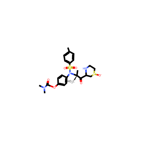 Cc1ccc(S(=O)(=O)N(c2ccc(OC(=O)N(C)C)cc2)[C@@](C)(C(=O)O)C(=O)C2C[S+]([O-])CCN2)cc1